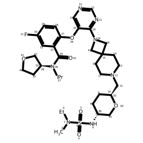 CCN(C)S(=O)(=O)N[C@@H]1CC[C@@H](CN2CCC3(CC2)CN(c2ncncc2Oc2ccc(F)cc2C(=O)N(C(C)C)[C@H]2CCOC2)C3)OC1